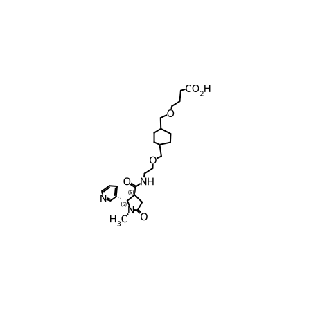 CN1C(=O)C[C@H](C(=O)NCCOCC2CCC(COCCCC(=O)O)CC2)[C@H]1c1cccnc1